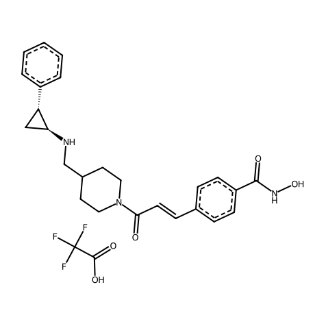 O=C(NO)c1ccc(/C=C/C(=O)N2CCC(CN[C@H]3C[C@@H]3c3ccccc3)CC2)cc1.O=C(O)C(F)(F)F